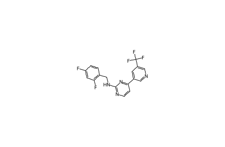 Fc1ccc(CNc2nccc(-c3cncc(C(F)(F)F)c3)n2)c(F)c1